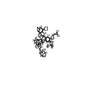 O=C(O[C@@H](Cc1c(Cl)cncc1Cl)c1ccc(OC(F)F)c(OCC2CC2)c1)[C@@H]1SCCN1S(=O)(=O)CCN1CCOCC1